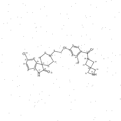 O=C(c1ccc(OCCN2CCC3(CC2)C(=O)Nc2ccc(Cl)cc23)cc1F)N1CC2(CNC2)C1